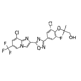 CC(C)(CO)Oc1c(F)cc(-c2noc(-c3cn4cc(C(F)(F)F)cc(Cl)c4n3)n2)cc1Cl